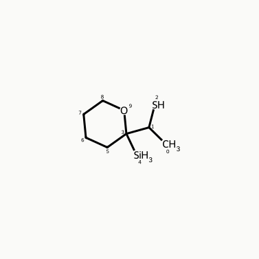 CC(S)C1([SiH3])CCCCO1